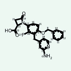 Nc1cc(Cc2c(OCc3ccccc3)ccc(N3C(=O)CC3C(=O)O)c2F)ccn1